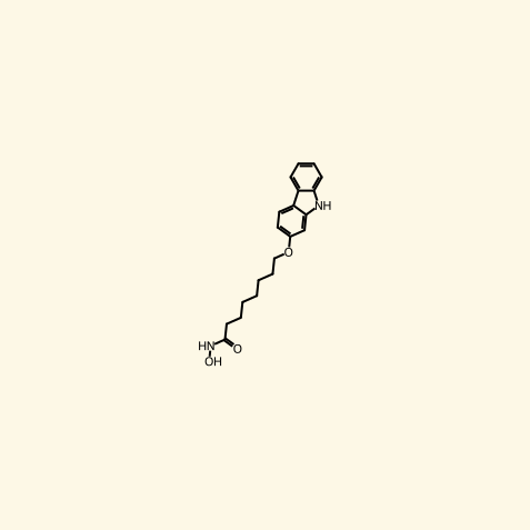 O=C(CCCCCCCOc1ccc2c(c1)[nH]c1ccccc12)NO